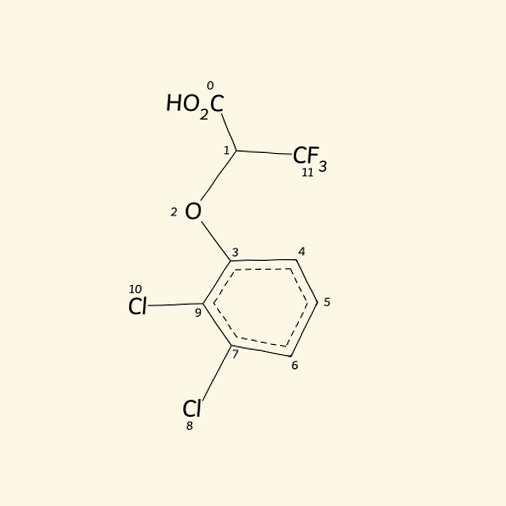 O=C(O)C(Oc1cccc(Cl)c1Cl)C(F)(F)F